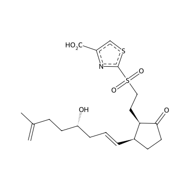 C=C(C)CC[C@H](O)C/C=C/[C@@H]1CCC(=O)[C@@H]1CCS(=O)(=O)c1nc(C(=O)O)cs1